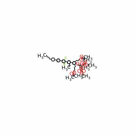 C=C(C)C(=O)OCCCCc1cc(-c2ccc(-c3c(F)cc(-c4ccc(C5CCC(CCCCC)CC5)cc4)cc3F)cc2CC)cc(CCCOC(=O)C(=C)C)c1OCC(CC)(COC(=O)C(=O)OCC)COC(=O)C(=O)OCC